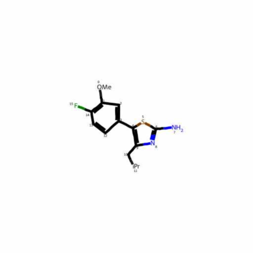 COc1cc(-c2sc(N)nc2CC(C)C)ccc1F